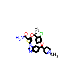 C[C@@H](Oc1cc(-n2cnc3ccc(C(=O)C4CCN(C)CC4)cc32)sc1C(N)=O)c1ccccc1Cl